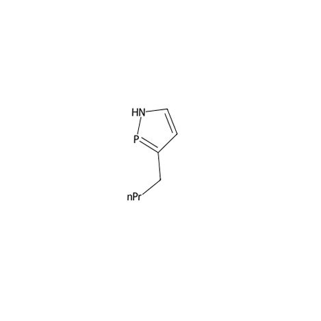 CCCCc1cc[nH]p1